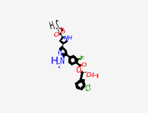 COC(=O)[C@@H]1C[C@H](c2cnc(N)c(-c3ccc(C(=O)O[C@H](CO)c4cccc(Cl)c4)c(F)c3)c2)CN1